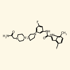 Cc1ccc(F)c2cc(C(=O)Nc3cc(F)cc(N4CC[C@H](N5CCN(CC(N)=O)CC5)C4)c3)[nH]c12